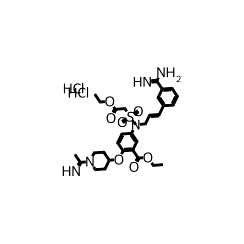 CCOC(=O)CS(=O)(=O)N(C/C=C/c1cccc(C(=N)N)c1)c1ccc(OC2CCN(C(C)=N)CC2)c(C(=O)OCC)c1.Cl.Cl